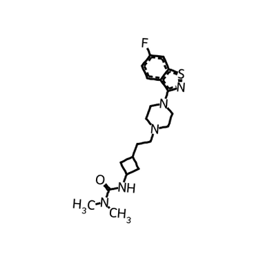 CN(C)C(=O)NC1CC(CCN2CCN(c3nsc4cc(F)ccc34)CC2)C1